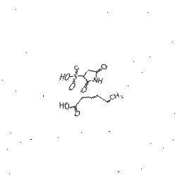 CCCCCC(=O)O.O=C1CC(S(=O)(=O)O)C(=O)N1